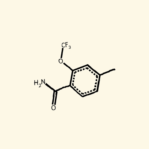 Cc1ccc(C(N)=O)c(OC(F)(F)F)c1